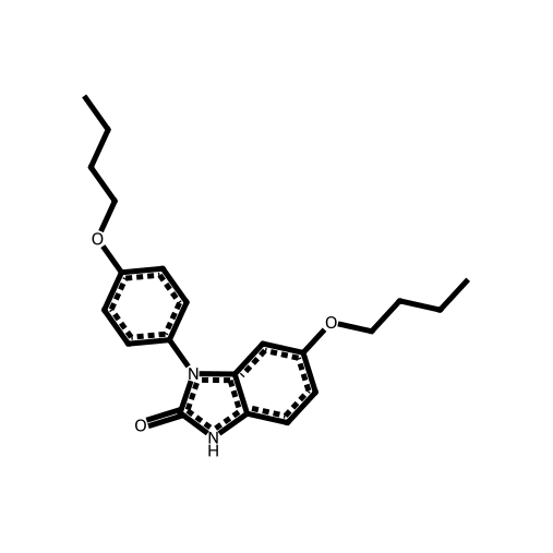 CCCCOc1ccc(-n2c(=O)[nH]c3ccc(OCCCC)cc32)cc1